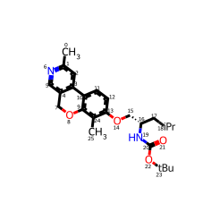 Cc1cc2c(cn1)COc1c-2ccc(OC[C@H](CC(C)C)NC(=O)OC(C)(C)C)c1C